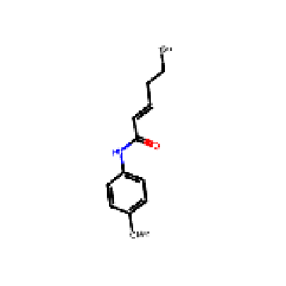 COc1ccc(NC(=O)C=CCCC(C)(C)C)cc1